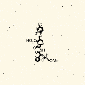 CCc1ccc(SCC2=C(C(=O)O)N3C(=O)[C@H](NC(=O)C(NC(=O)NCOC)c4cccs4)C3SC2)[n+]([O-])n1